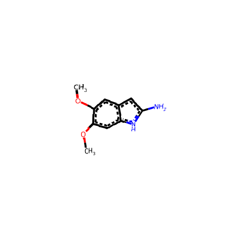 COc1cc2cc(N)[nH]c2cc1OC